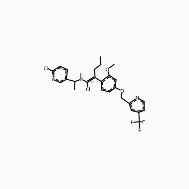 CCC/C(=C(/Cl)NC(C)c1ccc(Cl)nc1)c1ccc(OCc2cc(C(F)(F)F)ccn2)cc1OC